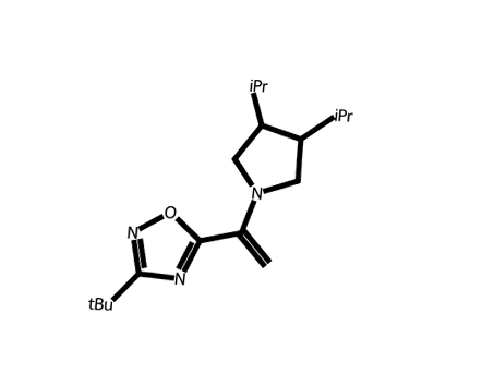 C=C(c1nc(C(C)(C)C)no1)N1CC(C(C)C)C(C(C)C)C1